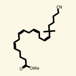 COC(=O)CCC/C=C\C/C=C\C/C=C\C/C=C\C(C)(C)CCCCC#N